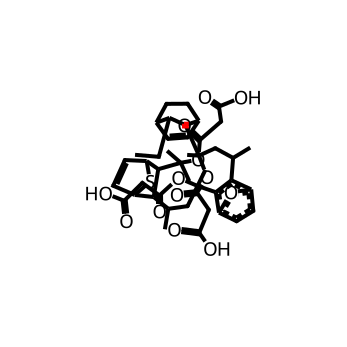 CCC1C2C=CC(CC2)C1C(C)(CC(C)c1c(C(C)(CC(C)C2C3C=CC(S3)C2C(C)(C)OC(=O)CC(=O)O)OC(=O)CC(=O)O)c2ccc1o2)OC(=O)CC(=O)O